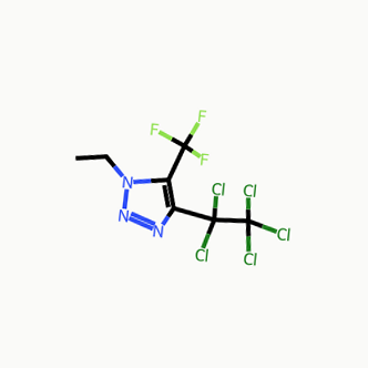 CCn1nnc(C(Cl)(Cl)C(Cl)(Cl)Cl)c1C(F)(F)F